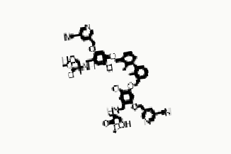 COC(=O)C(C)(CO)NCc1cc(Cl)c(OCc2cccc(-c3cccc(COc4cc(OCc5cncc(C#N)c5)c(CN[C@@](C)(CO)C(=O)OC)cc4Cl)c3C)c2C)cc1OCc1cncc(C#N)c1